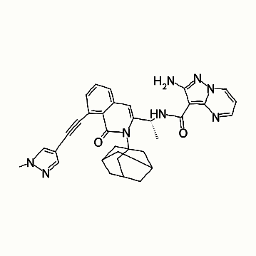 C[C@@H](NC(=O)c1c(N)nn2cccnc12)c1cc2cccc(C#Cc3cnn(C)c3)c2c(=O)n1C12CC3CC(CC(C3)C1)C2